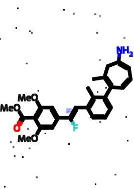 COC(=O)c1c(OC)cc(/C(F)=C/c2cccc(C3=C(C)CC(N)=CC=C3)c2C)cc1OC